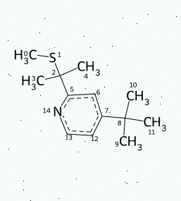 CSC(C)(C)c1cc(C(C)(C)C)ccn1